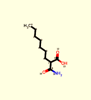 CCCCCCCC(C(N)=O)C(=O)O